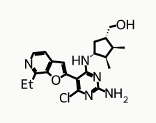 CCc1nccc2cc(-c3c(Cl)nc(N)nc3N[C@@H]3C[C@H](CO)[C@@H](C)[C@H]3C)oc12